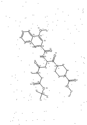 CCOC(=O)N1CCN(C(=O)C(CC(=O)N(C)CC(=O)OC(C)(C)C)NC(=O)c2cc(OC)c3ccccc3n2)CC1